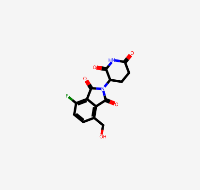 O=C1CCC(N2C(=O)c3c(F)ccc(CO)c3C2=O)C(=O)N1